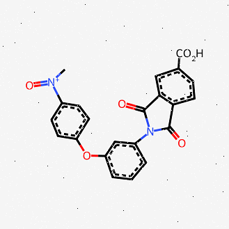 C[N+](=O)c1ccc(Oc2cccc(N3C(=O)c4ccc(C(=O)O)cc4C3=O)c2)cc1